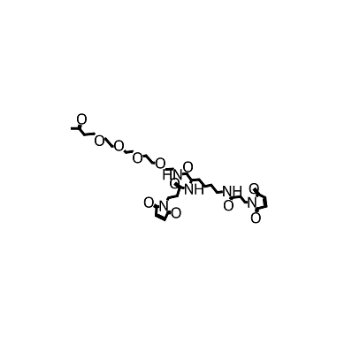 CC(=O)CCOCCOCCOCCOCCNC(=O)C(CCCCNC(=O)CCN1C(=O)C=CC1=O)NC(=O)CCN1C(=O)C=CC1=O